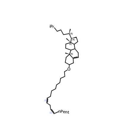 CCCCC/C=C\C/C=C\CCCCCCCCOC1CC[C@@]2(C)C(=CCC3C2CC[C@@]2(C)C3CC[C@@H]2[C@H](C)CCCC(C)C)C1